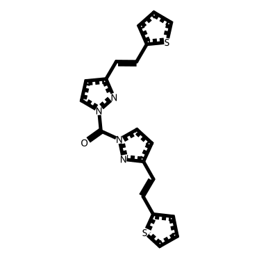 O=C(n1ccc(C=Cc2cccs2)n1)n1ccc(C=Cc2cccs2)n1